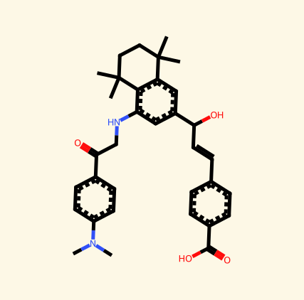 CN(C)c1ccc(C(=O)CNc2cc(C(O)C=Cc3ccc(C(=O)O)cc3)cc3c2C(C)(C)CCC3(C)C)cc1